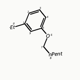 C[CH]c1cccc(OCCCCCC)c1